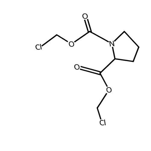 O=C(OCCl)C1CCCN1C(=O)OCCl